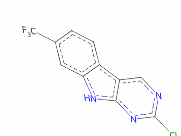 FC(F)(F)c1ccc2c(c1)[nH]c1nc(Cl)ncc12